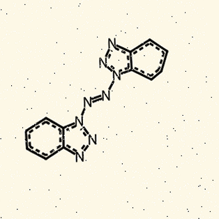 c1ccc2c(c1)nnn2N=Nn1nnc2ccccc21